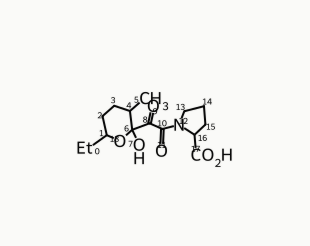 CCC1CCC(C)C(O)(C(=O)C(=O)N2CCCC2C(=O)O)O1